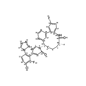 C[C@@H]1CCC[C@H](n2cnc(-c3c(-n4cnnn4)ccc(Cl)c3F)cc2=O)c2cc(ccn2)-c2cc(F)ccc2NC1=O